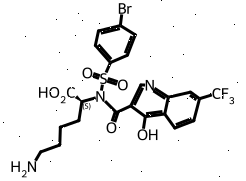 NCCCC[C@@H](C(=O)O)N(C(=O)c1cnc2cc(C(F)(F)F)ccc2c1O)S(=O)(=O)c1ccc(Br)cc1